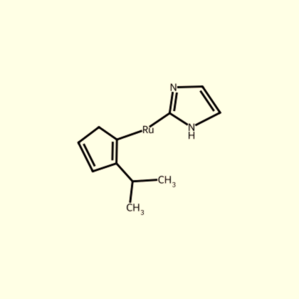 CC(C)C1=[C]([Ru][c]2ncc[nH]2)CC=C1